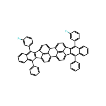 Fc1cccc(-c2c3c(c(-c4ccccc4)c4ccccc24)-c2ccc4c5ccc6c7c(ccc(c8ccc-3c2c48)c75)-c2c-6c(-c3ccccc3)c3ccccc3c2-c2cccc(F)c2)c1